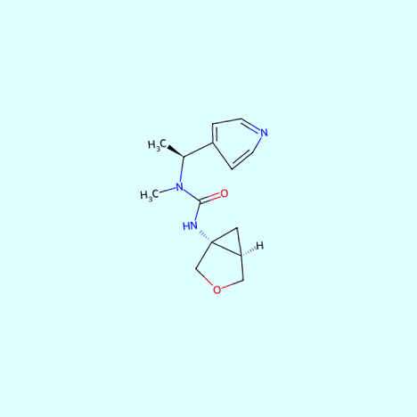 C[C@@H](c1ccncc1)N(C)C(=O)N[C@@]12COC[C@@H]1C2